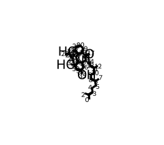 CC(C)=CCC/C(C)=C/CC/C(C)=C/CN1C(=O)c2cccc(O)c2N(C=C(C)C)c2c(O)cc(O)cc21